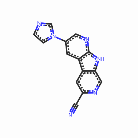 N#Cc1cc2c(cn1)[nH]c1ncc(-n3ccnc3)cc12